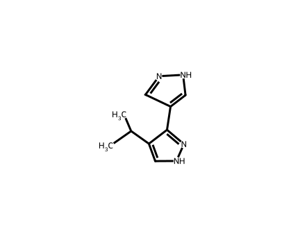 CC(C)c1c[nH]nc1-c1cn[nH]c1